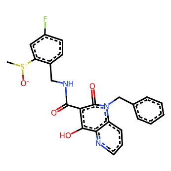 C[S+]([O-])c1cc(F)ccc1CNC(=O)c1c(O)c2ncccc2n(Cc2ccccc2)c1=O